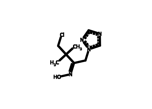 CC(C)(CCl)/C(Cn1cncn1)=N\O